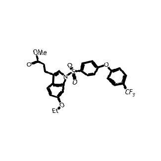 CCOc1ccc2c(CCC(=O)OC)cn(S(=O)(=O)c3ccc(Oc4ccc(C(F)(F)F)cc4)cc3)c2c1